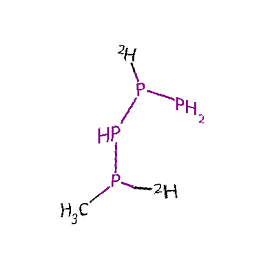 [2H]P(C)PP([2H])P